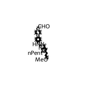 CCCCCn1c(CC=NOC)cc2cnc(Nc3ccc(N4CCN(CC=O)CC4)cc3)nc21